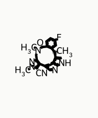 C[C@@H]1c2cc(F)ccc2C(=O)N(C)Cc2nn(C)c(C#N)c2-c2cnc3[nH]cc1c3c2